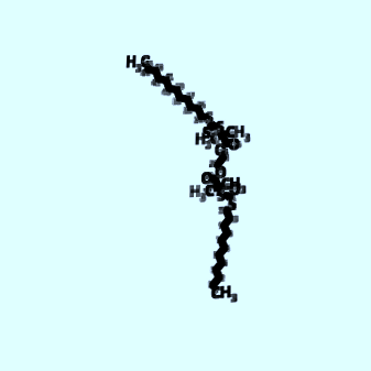 CCCCCCCCCCCCSC(=O)SC(C)(C)C(=O)OCCOC(=O)C(C)(C)SC(=S)SCCCCCCCCCCCC